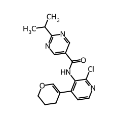 CC(C)c1ncc(C(=O)Nc2c(C3=COCCC3)ccnc2Cl)cn1